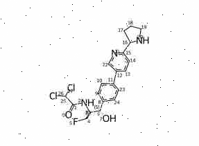 O=C(N[C@H](CF)[C@@H](O)c1ccc(-c2ccc(C3CCCN3)nc2)cc1)C(Cl)Cl